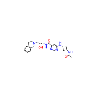 CC(=O)NC1CC(Nc2cc(C(=O)NC[C@H](O)CN3CCc4ccccc4C3)ncn2)C1